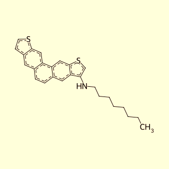 CCCCCCCCNc1csc2cc3c(ccc4cc5ccsc5cc43)cc12